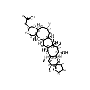 CC(=O)C[C@@H]1OC[C@@H]2O[C@@H]3C[C@@H]4O[C@@H]5[C@@H](C)[C@H](C)C6(CCCO6)O[C@H]5[C@@H](O)[C@H](C)[C@H]4O[C@H]3C[C@@H](C)C[C@H]2O1